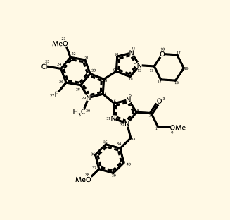 COCC(=O)c1nc(-c2c(-c3cnn(C4CCCCO4)c3)c3cc(OC)c(Cl)c(F)c3n2C)nn1Cc1ccc(OC)cc1